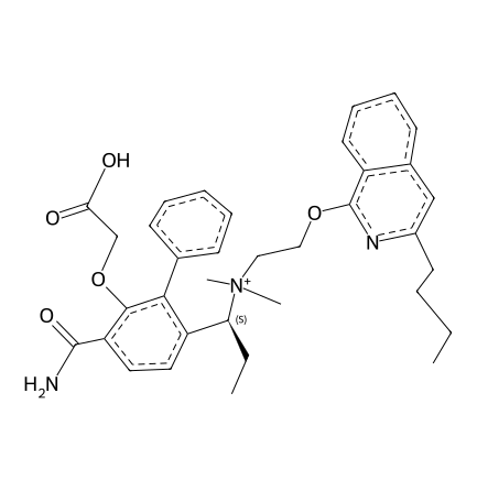 CCCCc1cc2ccccc2c(OCC[N+](C)(C)[C@@H](CC)c2ccc(C(N)=O)c(OCC(=O)O)c2-c2ccccc2)n1